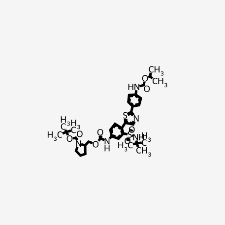 CC(C)OC(=O)Nc1ccc(-c2ncc(-c3ccc(NC(=O)OCC4CCCN4C(=O)OC(C)(C)C)cc3S(=O)(=O)NC(C)(C)C)s2)cc1